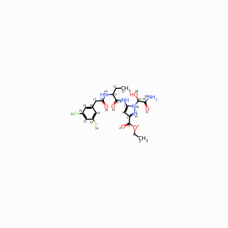 CCOC(=O)c1cc(NC(=O)C(CC)NC(=O)Cc2cc(F)cc(F)c2)n(C(O)C(N)=O)n1